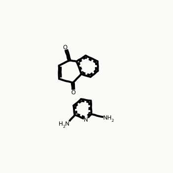 Nc1cccc(N)n1.O=C1C=CC(=O)c2ccccc21